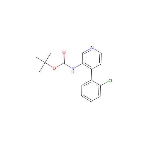 CC(C)(C)OC(=O)Nc1cnccc1-c1ccccc1Cl